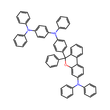 c1ccc(N(c2ccccc2)c2ccc(N(c3ccccc3)c3ccc(C4(c5ccccc5)Oc5cc(N(c6ccccc6)c6ccccc6)ccc5-c5ccccc54)cc3)cc2)cc1